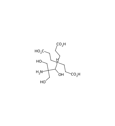 NC(CO)(CO)C(O)[PH](CCC(=O)O)(CCC(=O)O)CCC(=O)O